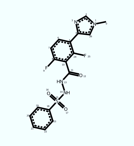 Cn1cnc(-c2ccc(F)c(C(=O)NNS(=O)(=O)c3ccccc3)c2F)c1